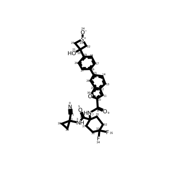 N#CC1(NC(=O)C2(NC(=O)c3cc4ccc(-c5ccc(C6(O)C[S+]([O-])C6)cc5)cc4o3)CCC(F)(F)CC2)CC1